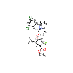 COC(=O)c1cc(C2CC2)c(OC2CCCN([C@H](C)c3cc(Cl)cc(Cl)c3)C2)cc1F